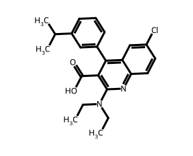 CCN(CC)c1nc2ccc(Cl)cc2c(-c2cccc(C(C)C)c2)c1C(=O)O